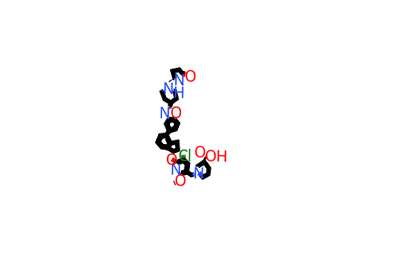 COc1nc(O[C@H]2CCc3c(-c4ccc5oc(C6CCN(C[C@@H]7CCC(=O)N7)CC6)nc5c4)cccc32)c(Cl)cc1CN1CCC[C@H](C(=O)O)C1